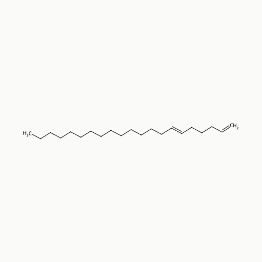 C=CCCCC=CCCCCCCCCCCCCCC